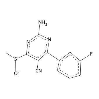 C[S+]([O-])c1nc(N)nc(-c2cccc(F)c2)c1C#N